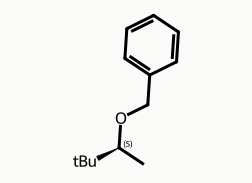 C[C@H](OCc1ccccc1)C(C)(C)C